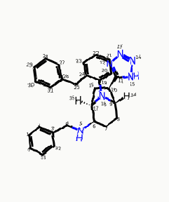 c1ccc(CN[C@@H]2CC[C@H]3[C@H](c4nnn[nH]4)C[C@H]2N3c2ccccc2Cc2ccccc2)cc1